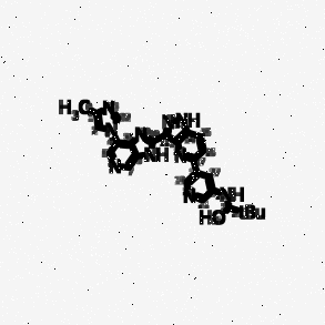 Cc1cn(-c2cncc3[nH]c(-c4n[nH]c5ccc(-c6cncc(NC(O)C(C)(C)C)c6)nc45)nc23)cn1